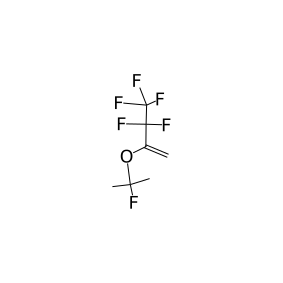 C=C(OC(C)(C)F)C(F)(F)C(F)(F)F